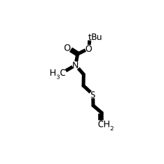 C=CCSCCN(C)C(=O)OC(C)(C)C